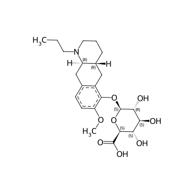 CCCN1CCC[C@@H]2Cc3c(ccc(OC)c3O[C@@H]3O[C@H](C(=O)O)[C@@H](O)[C@H](O)[C@H]3O)C[C@H]21